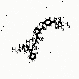 CC1=NCC(c2ccc3oc(-c4ccnc(C(=O)NCCNC(C5=NN(C)NN5)c5ccccc5)c4)nc3c2)N1C